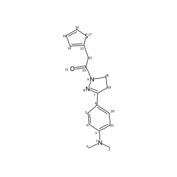 CN(C)c1ccc(C2=NN(C(=O)Cc3cccs3)CC2)cc1